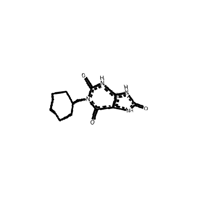 O=c1[nH]c2[nH]c(=O)n(C3CCCCC3)c(=O)c2[nH]1